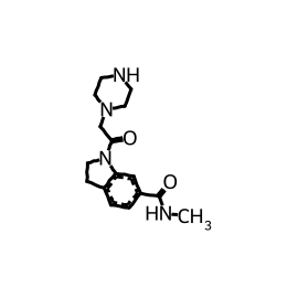 CNC(=O)c1ccc2c(c1)N(C(=O)CN1CCNCC1)CC2